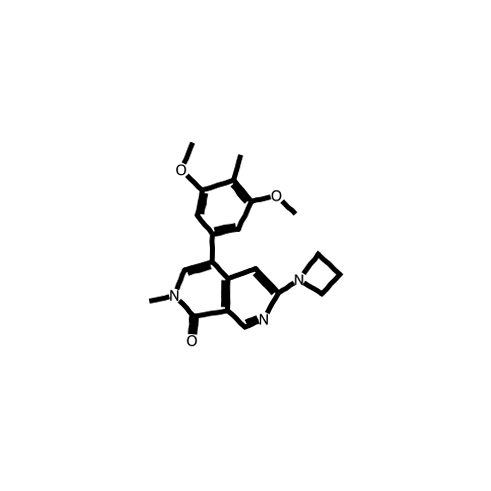 COc1cc(-c2cn(C)c(=O)c3cnc(N4CCC4)cc23)cc(OC)c1C